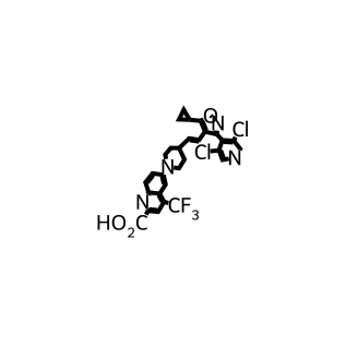 O=C(O)c1cc(C(F)(F)F)c2cc(N3CCC(C=Cc4c(-c5c(Cl)cncc5Cl)noc4C4CC4)CC3)ccc2n1